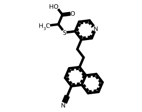 CC(Sc1ccncc1CCc1ccc(C#N)c2ccccc12)C(=O)O